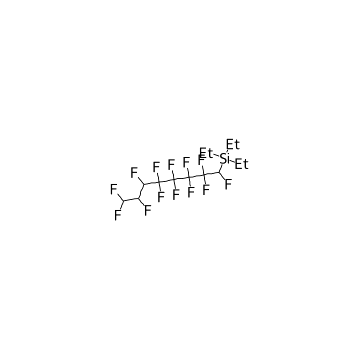 CC[Si](CC)(CC)C(F)C(F)(F)C(F)(F)C(F)(F)C(F)(F)C(F)C(F)C(F)F